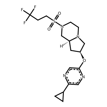 O=S(=O)(CCC(F)(F)F)N1CCN2C[C@@H](Oc3cnc(C4CC4)cn3)C[C@H]2C1